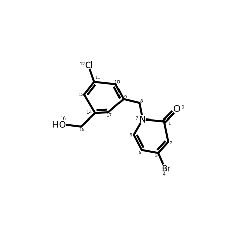 O=c1cc(Br)ccn1Cc1cc(Cl)cc(CO)c1